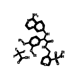 CCNS(=O)(=O)c1ccccc1CNC(=O)C(Nc1ccc2c(N)nccc2c1)c1ccc(OC(C)C)c(OCC)c1.O=C(O)C(F)(F)F